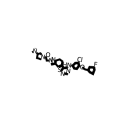 CN(C)C1CCN(C(=O)Cn2cc3c(n2)CCc2c-3sc3ncnc(Nc4ccc(OCc5cccc(F)c5)c(Cl)c4)c23)C1